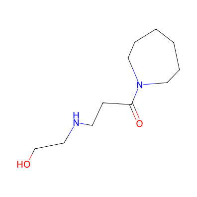 O=C(CCNCCO)N1CCCCCC1